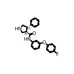 O=C(Nc1cccc(Oc2ccc(F)cc2)c1)[C@H]1CNC[C@@H]1c1ccccc1